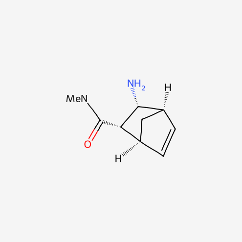 CNC(=O)[C@@H]1[C@H](N)[C@H]2C=C[C@@H]1C2